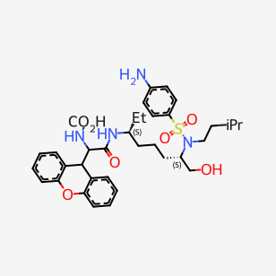 CC[C@@H](CCC[C@@H](CO)N(CCC(C)C)S(=O)(=O)c1ccc(N)cc1)NC(=O)C(NC(=O)O)C1c2ccccc2Oc2ccccc21